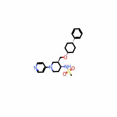 CS(=O)(=O)N[C@H]1CCN(c2ccncc2)C[C@H]1CO[C@H]1CC[C@@H](c2ccccc2)CC1